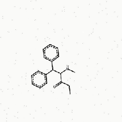 CCC(=O)C(NC)C(c1ccccc1)c1ccccc1